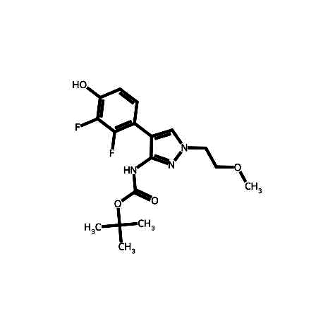 COCCn1cc(-c2ccc(O)c(F)c2F)c(NC(=O)OC(C)(C)C)n1